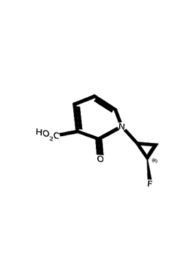 O=C(O)c1cccn(C2C[C@H]2F)c1=O